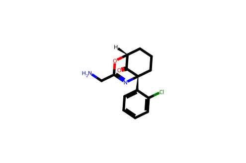 NCC1=N[C@@]2(c3ccccc3Cl)CCC[C@@H](O1)C2=O